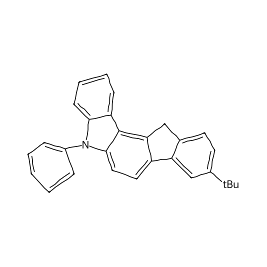 CC(C)(C)c1ccc2c(c1)-c1ccc3c(c1C2)c1ccccc1n3-c1ccccc1